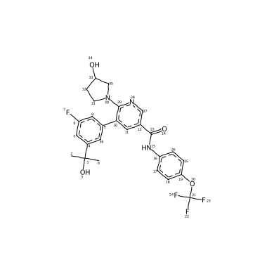 CC(C)(O)c1cc(F)cc(-c2cc(C(=O)Nc3ccc(OC(F)(F)F)cc3)cnc2N2CCC(O)C2)c1